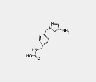 Nc1cnn(Cc2ccc(CNC(=O)O)cc2)c1